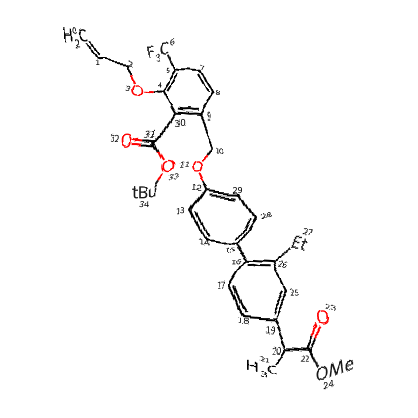 C=CCOc1c(C(F)(F)F)ccc(COc2ccc(-c3ccc(C(C)C(=O)OC)cc3CC)cc2)c1C(=O)OC(C)(C)C